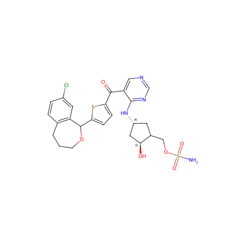 NS(=O)(=O)OCC1C[C@@H](Nc2ncncc2C(=O)c2ccc(C3OCCCc4ccc(Cl)cc43)s2)C[C@@H]1O